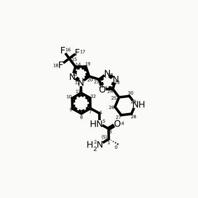 C[C@H](N)C(=O)NCc1cccc(-n2nc(C(F)(F)F)cc2-c2nnc(C3CCCNC3)o2)c1